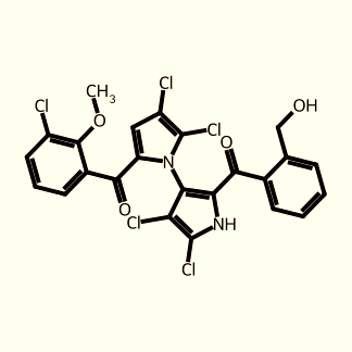 COc1c(Cl)cccc1C(=O)c1cc(Cl)c(Cl)n1-c1c(C(=O)c2ccccc2CO)[nH]c(Cl)c1Cl